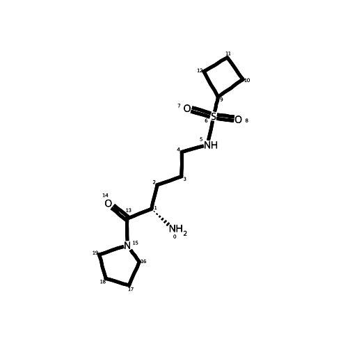 N[C@@H](CCCNS(=O)(=O)C1CCC1)C(=O)N1CCCC1